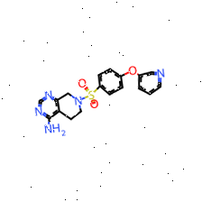 Nc1ncnc2c1CCN(S(=O)(=O)c1ccc(Oc3cccnc3)cc1)C2